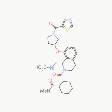 CNC(=O)[C@H]1CCCC[C@H]1C(=O)N1CCc2cccc(O[C@H]3CCN(C(=O)c4cncs4)C3)c2[C@H]1CNC(=O)O